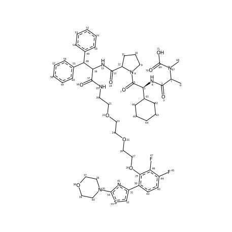 CC(C(=O)N[C@H](C(=O)N1CCCC1C(=O)NC(C(=O)NCCOCCOCCOc1c(-c2csc(N3CCOCC3)n2)ccc(F)c1F)C(c1ccccc1)c1ccccc1)C1CCCCC1)N(C)C(=O)O